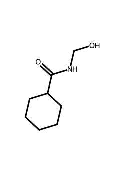 O=C(NCO)C1CCCCC1